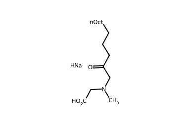 CCCCCCCCCCCC(=O)CN(C)CC(=O)O.[NaH]